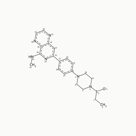 CC[S+]([O-])N1CCN(c2ccc(-c3cc4nccnc4c(NC)n3)cc2)CC1